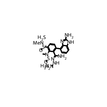 CN[S+]([O-])c1ccc(-c2cccc3[nH]c(N)nc23)c(/C(N)=N/NN)c1N(C)SON.S